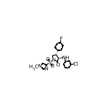 Cn1cnc(S(=O)(=O)N2C[C@H](c3ccc(F)cc3)[C@@H](Nc3cccc(Cl)c3)C2=O)c1